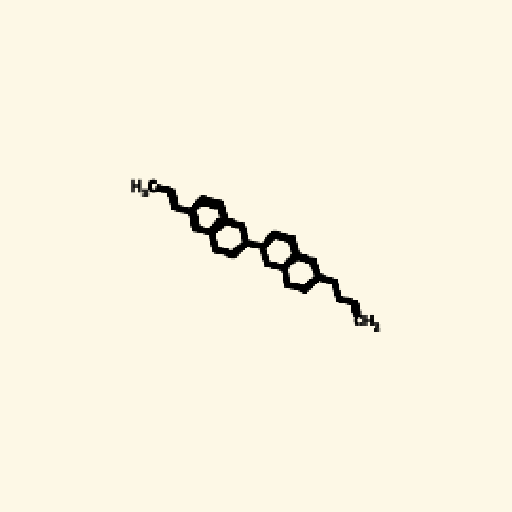 C=CCCC1CCC2CC(C3CCc4cc(C=CC)ccc4C3)CCC2C1